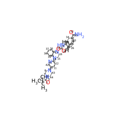 CC(C)(C)C(=O)N1CCN(c2ccc(N3CCN(OC(=O)NC4[C@@H]5CC6C[C@H]4CC(C(N)=O)(C6)C5)c4ccccc43)nc2)CC1